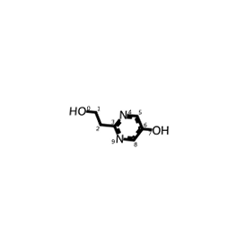 OCCc1ncc(O)cn1